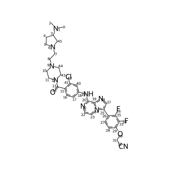 CN(C)C1CCN(CCN2CCN(C(=O)c3ccc(Nc4nccn5c(-c6ccc(OCC#N)c(F)c6F)cnc45)cc3Cl)CC2)C1